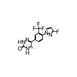 C[C@@H]1NC(=O)NN=C1c1ccc(-n2ccc(F)n2)c(C(F)(F)F)c1